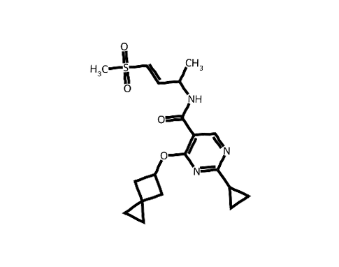 CC(/C=C/S(C)(=O)=O)NC(=O)c1cnc(C2CC2)nc1OC1CC2(CC2)C1